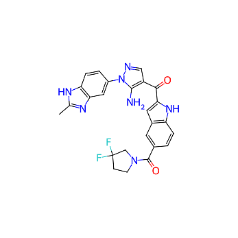 Cc1nc2cc(-n3ncc(C(=O)c4cc5cc(C(=O)N6CCC(F)(F)C6)ccc5[nH]4)c3N)ccc2[nH]1